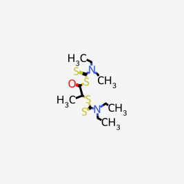 CCN(CC)C(=S)SC(=O)C(C)SC(=S)N(CC)CC